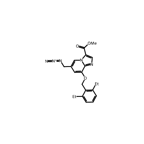 CCc1cccc(CC)c1COc1cc(CN=[N+]=[N-])cn2c(C(=O)OC)cnc12